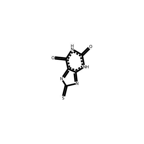 O=c1[nH]c(=O)c2c([nH]1)=NC(=S)N=2